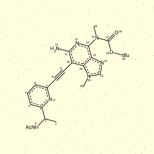 CC(=O)NC(C)c1cccc(C#Cc2c(N)nc(N(C)C(=O)OC(C)(C)C)c3ncn(C)c23)n1